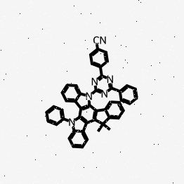 CC1(C)c2ccccc2-c2c1c1c3ccccc3n(-c3ccccc3)c1c1c3ccccc3n(-c3nc(-c4ccccc4)nc(-c4ccc(C#N)cc4)n3)c21